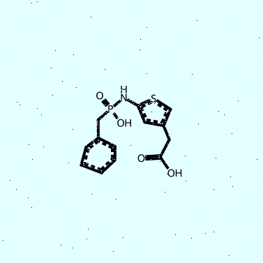 O=C(O)Cc1csc(NP(=O)(O)Cc2ccccc2)c1